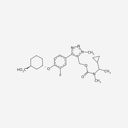 CC(C1CC1)N(C)C(=O)OCc1c(-c2ccc(O[C@H]3CCC[C@H](C(=O)O)C3)c(F)c2)nnn1C